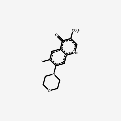 O=C(O)c1c[nH]c2cc(N3CCOCC3)c(F)cc2c1=O